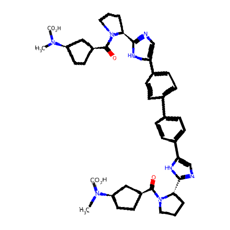 CN(C(=O)O)[C@@H]1CC[C@H](C(=O)N2CCC[C@H]2c2ncc(-c3ccc(-c4ccc(-c5cnc([C@@H]6CCCN6C(=O)[C@H]6CC[C@@H](N(C)C(=O)O)C6)[nH]5)cc4)cc3)[nH]2)C1